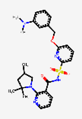 CC1CN(c2ncccc2C(=O)NS(=O)(=O)c2cccc(OCc3cccc(N(C)C)c3)n2)C(C)(C)C1